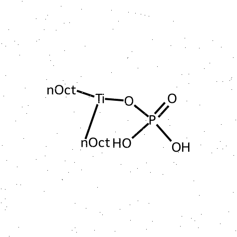 CCCCCCC[CH2][Ti]([CH2]CCCCCCC)[O]P(=O)(O)O